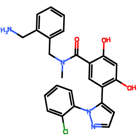 CN(Cc1ccccc1CN)C(=O)c1cc(-c2ccnn2-c2ccccc2Cl)c(O)cc1O